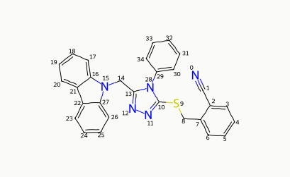 N#Cc1ccccc1CSc1nnc(Cn2c3ccccc3c3ccccc32)n1-c1ccccc1